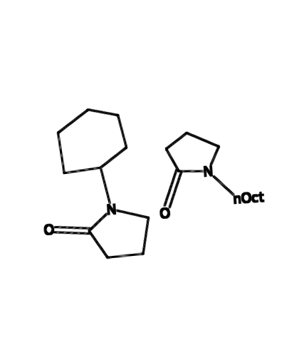 CCCCCCCCN1CCCC1=O.O=C1CCCN1C1CCCCC1